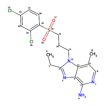 CCc1nc2c(N)ncc(C)c2n1CCCS(=O)(=O)c1ccc(Cl)cc1Cl